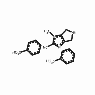 Cn1c(C#N)nc2c1CNC2.O=S(=O)(O)c1ccccc1.O=S(=O)(O)c1ccccc1